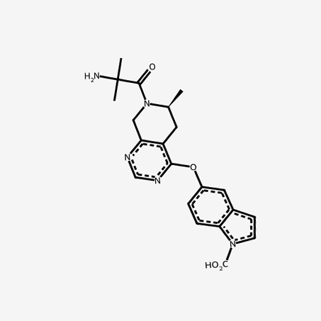 C[C@H]1Cc2c(ncnc2Oc2ccc3c(ccn3C(=O)O)c2)CN1C(=O)C(C)(C)N